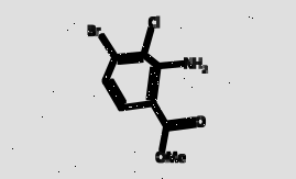 COC(=O)c1ccc(Br)c(Cl)c1N